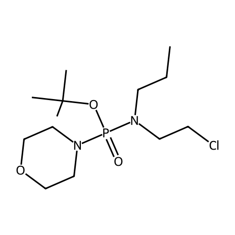 CCCN(CCCl)P(=O)(OC(C)(C)C)N1CCOCC1